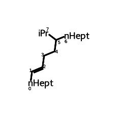 [CH2]CCCCCCC=CCCC(CCCCCC[CH2])C(C)C